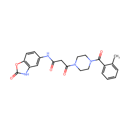 Cc1ccccc1C(=O)N1CCN(C(=O)CC(=O)Nc2ccc3oc(=O)[nH]c3c2)CC1